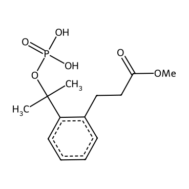 COC(=O)CCc1ccccc1C(C)(C)OP(=O)(O)O